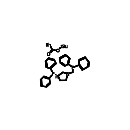 CC(C)(C)O[C](=O)[Rh].c1ccc(P(CN2CC[C@H](P(c3ccccc3)c3ccccc3)C2)c2ccccc2)cc1